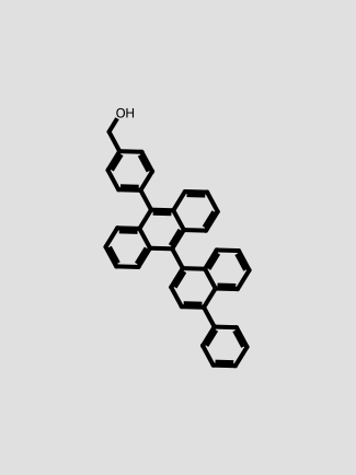 OCc1ccc(-c2c3ccccc3c(-c3ccc(-c4ccccc4)c4ccccc34)c3ccccc23)cc1